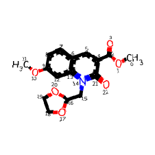 COC(=O)c1cc2ccc(OC)cc2n(CC2OCCO2)c1=O